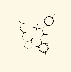 [2H]C([2H])([2H])N(C(=O)Oc1c(N2CCN(CC(O)CN(C)C)C2=O)cc(C(F)(F)F)cc1C(F)(F)F)c1ccc(F)cc1